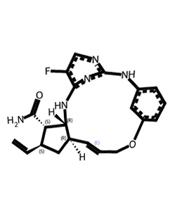 C=C[C@@H]1C[C@@H]2/C=C/COc3cccc(c3)Nc3ncc(F)c(n3)N[C@H]2[C@H]1C(N)=O